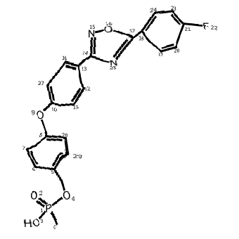 CP(=O)(O)Oc1ccc(Oc2ccc(-c3noc(-c4ccc(F)cc4)n3)cc2)cc1